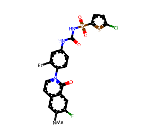 CCc1cc(NC(=O)NS(=O)(=O)c2ccc(Cl)s2)ccc1-n1ccc2cc(NC)c(F)cc2c1=O